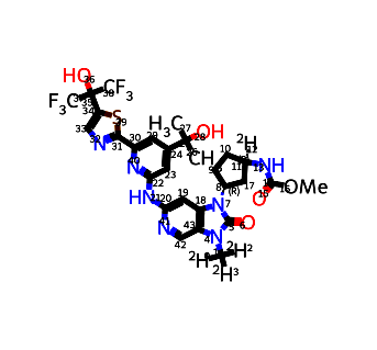 [2H]C([2H])([2H])n1c(=O)n([C@@H]2CC[C@@]([2H])(NC(=O)OC)C2)c2cc(Nc3cc(C(C)(C)O)cc(-c4ncc(C(O)(C(F)(F)F)C(F)(F)F)s4)n3)ncc21